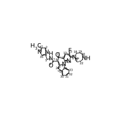 Cc1cnc(CNC(=O)c2c(=O)c3cc(F)c(N4CCCNCC4)nc3n3c2sc2ccccc23)cn1